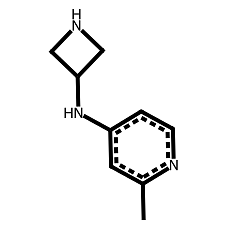 Cc1cc(NC2CNC2)ccn1